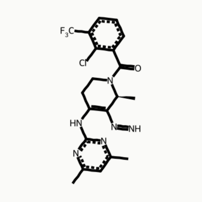 Cc1cc(C)nc(NC2=C(N=N)[C@H](C)N(C(=O)c3cccc(C(F)(F)F)c3Cl)CC2)n1